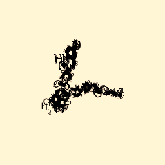 COc1ccc2c(c1)CCN(C1CCN(C(=O)O[C@H](Cc3cc(Cl)c(N)c(C(F)(F)F)c3)C(=O)N3CCC(N4CCN(CC(=O)OCCCN(C)C)CC4)CC3)CC1)C(=O)N2